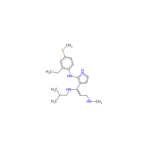 CCc1cc(SC)ccc1Nc1[nH]ccc1/C(=C\CNC)NCC(C)C